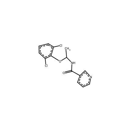 CC(NC(=O)c1cccnc1)Oc1c(Cl)cccc1Cl